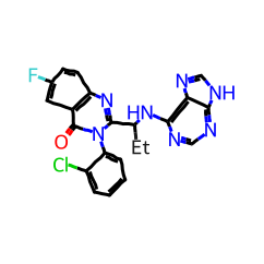 CCC(Nc1ncnc2[nH]cnc12)c1nc2ccc(F)cc2c(=O)n1-c1ccccc1Cl